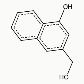 OCc1cc(O)c2ccccc2c1